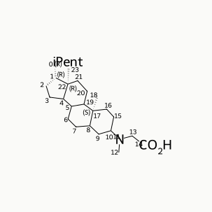 CCC[C@@H](C)[C@H]1CCC2C3CCC4CC(N(C)CC(=O)O)CC[C@]4(C)C3CC[C@@]21C